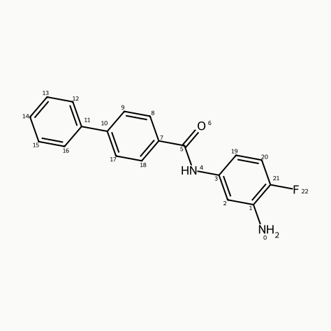 Nc1cc(NC(=O)c2ccc(-c3ccccc3)cc2)ccc1F